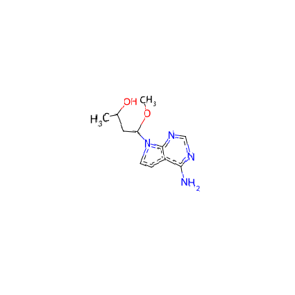 COC(CC(C)O)n1ccc2c(N)ncnc21